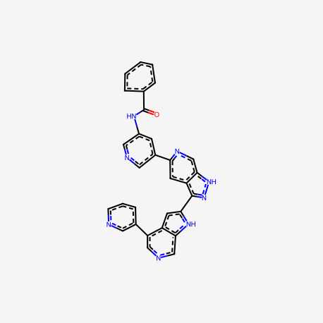 O=C(Nc1cncc(-c2cc3c(-c4cc5c(-c6cccnc6)cncc5[nH]4)n[nH]c3cn2)c1)c1ccccc1